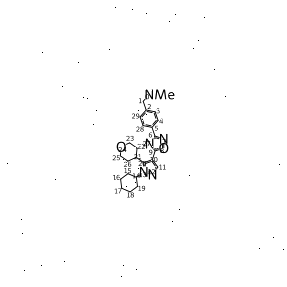 CNCc1ccc(-c2noc(-c3cnn(C4CCCCC4)c3C3CCOCC3)n2)cc1